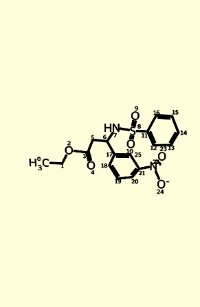 CCOC(=O)CC(NS(=O)(=O)c1ccccc1)c1cccc([N+](=O)[O-])c1